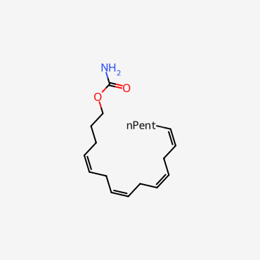 CCCCC/C=C\C/C=C\C/C=C\C/C=C\CCCOC(N)=O